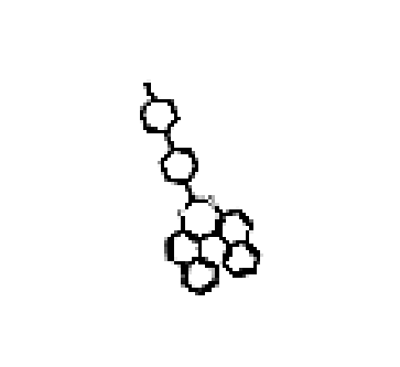 CC1CCC(C2CCC(C3Oc4ccc5ccccc5c4-c4c(ccc5ccccc45)O3)CC2)CC1